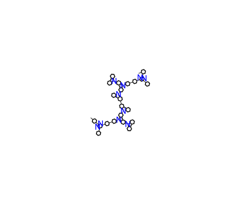 Cc1ccc(-c2nc(-c3ccccc3)cc(-c3ccc(-c4ccc(-n5c6ccc(-n7c8ccccc8c8ccccc87)cc6c6cc(-n7c8ccccc8c8cc(-c9ccc%10c(c9)c9ccccc9n%10-c9ccc%10c(c9)c9cc(-n%11c%12ccccc%12c%12ccccc%12%11)ccc9n%10-c9ccc(-c%10ccc(-c%11cc(-c%12ccccc%12)nc(-c%12ccccc%12C)n%11)cc%10)cc9)ccc87)ccc65)cc4)cc3)n2)cc1